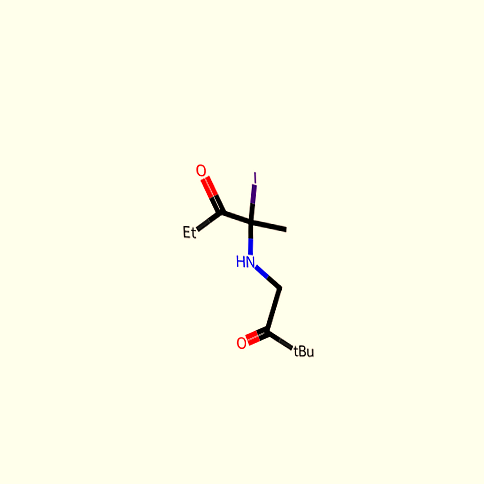 CCC(=O)C(C)(I)NCC(=O)C(C)(C)C